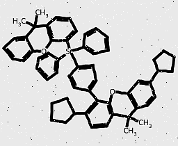 CC1(C)c2ccccc2Oc2c1cccc2[Si](c1ccccc1)(c1ccccc1)c1ccc(-c2c(C3CCCC3)ccc3c2Oc2cc(C4CCCC4)ccc2C3(C)C)cc1